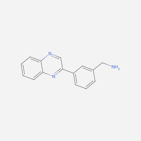 NCc1cccc(-c2cnc3ccccc3n2)c1